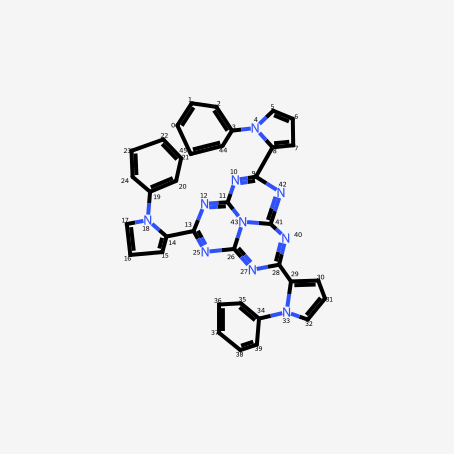 c1ccc(-n2cccc2C2=NC3=NC(c4cccn4-c4ccccc4)=NC4=NC(c5cccn5-c5ccccc5)=NC(=N2)N34)cc1